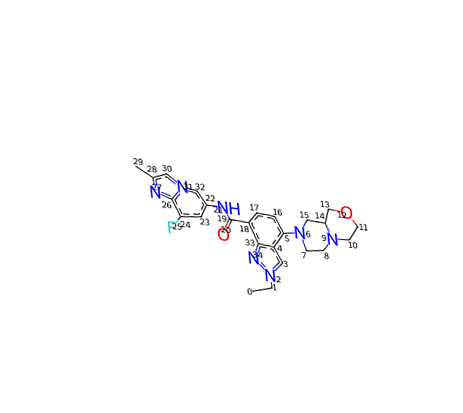 CCn1cc2c(N3CCN4CCOCC4C3)ccc(C(=O)Nc3cc(F)c4nc(C)cn4c3)c2n1